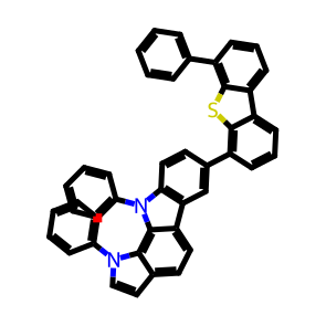 c1ccc(-c2cccc3c2sc2c(-c4ccc5c(c4)c4ccc6ccn(-c7ccccc7)c6c4n5-c4ccccc4)cccc23)cc1